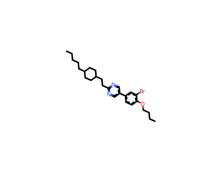 CCCCCC1CCC(CCc2ncc(-c3ccc(OCCCC)c(Br)c3)cn2)CC1